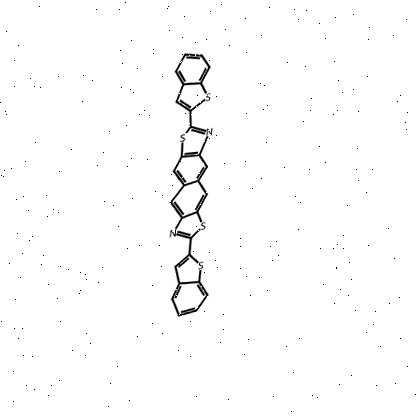 c1ccc2sc(-c3nc4cc5cc6sc(-c7cc8ccccc8s7)nc6cc5cc4s3)cc2c1